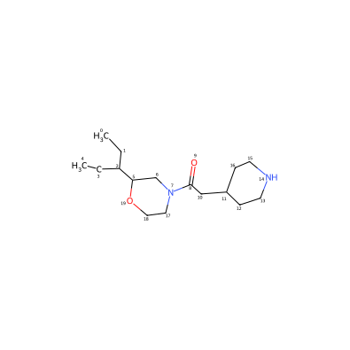 CCC(CC)C1CN(C(=O)CC2CCNCC2)CCO1